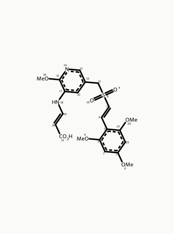 COc1cc(OC)c(C=CS(=O)(=O)Cc2cnc(OC)c(NC=CC(=O)O)c2)c(OC)c1